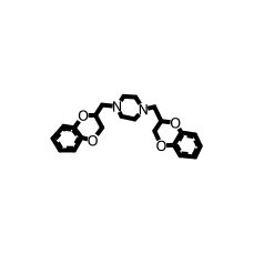 c1ccc2c(c1)OCC(CN1CCN(CC3COc4ccccc4O3)CC1)O2